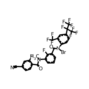 CN(C(=O)c1ccc(C#N)cc1F)c1cccc(C(=O)N(Br)c2ccc(C(F)(C(F)(F)F)C(F)(F)F)cc2C(F)(F)F)c1F